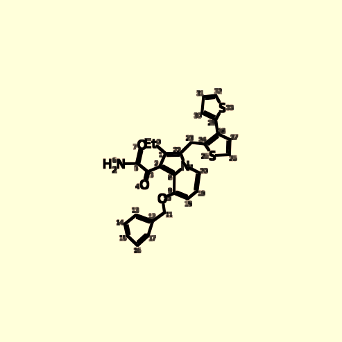 CCc1c(C(=O)C(N)=O)c2c(OCc3ccccc3)cccn2c1Cc1sccc1-c1cccs1